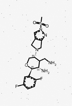 CS(=O)(=O)n1cc2c(n1)CN([C@H]1CO[C@H](c3cc(F)ccc3F)[C@@H](N)C1CN)C2